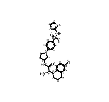 C[C@@H](C(=O)NC1CCN(c2ccc(S(=O)(=O)Nc3nccs3)cc2)C1)N1CCCc2cc(Cl)ccc21